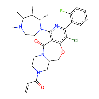 C=CC(=O)N1CCN2C(=O)c3c(N4CCN(C)C(C)C(C)[C@@H]4C)nc(-c4ccccc4F)c(Cl)c3OCC2C1